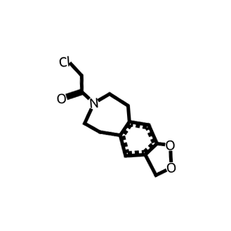 O=C(CCl)N1CCc2cc3c(cc2CC1)OOC3